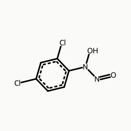 O=NN(O)c1ccc(Cl)cc1Cl